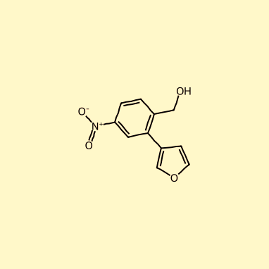 O=[N+]([O-])c1ccc(CO)c(-c2ccoc2)c1